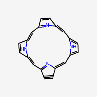 C1#Cc2cc3ccc(cc4nc(cc5ccc(cc1n2)[nH]5)C=C4)[nH]3